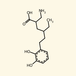 CCC(CCc1cccc(O)c1O)CC(CN)C(=O)O